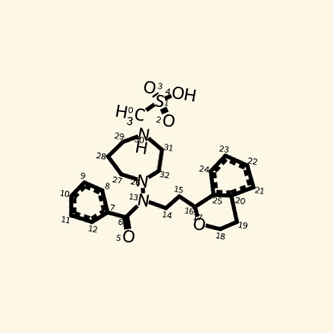 CS(=O)(=O)O.O=C(c1ccccc1)N(CCC1OCCc2ccccc21)N1CCCNCC1